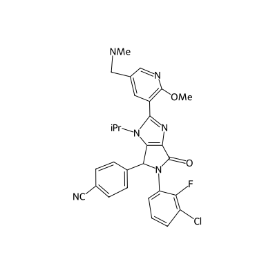 CNCc1cnc(OC)c(-c2nc3c(n2C(C)C)C(c2ccc(C#N)cc2)N(c2cccc(Cl)c2F)C3=O)c1